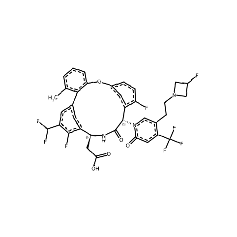 Cc1cccc2c1-c1cc(C(F)F)c(F)c(c1)[C@H](CC(=O)O)NC(=O)[C@@H](n1cc(CCN3CC(F)C3)c(C(F)(F)F)cc1=O)c1cc(ccc1F)O2